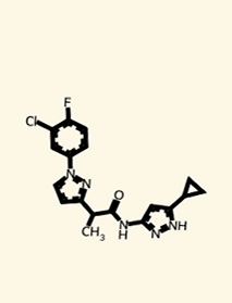 CC(C(=O)Nc1cc(C2CC2)[nH]n1)c1ccn(-c2ccc(F)c(Cl)c2)n1